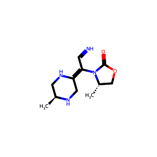 C[C@H]1CN/C(=C(\C=N)N2C(=O)OC[C@@H]2C)CN1